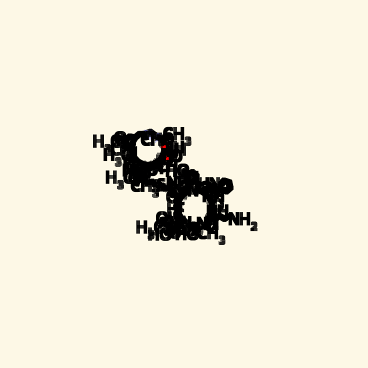 COc1cc2cc(c1Cl)N(C)C(=O)C[C@H](OC(=O)N(C)C(C)C(=O)CCSSC[C@@H](N)C(=O)N[C@H]1CSSC[C@@H](C(=O)N[C@H](C(=O)O)[C@@H](C)O)NC(=O)[C@H]([C@@H](C)O)NC(=O)[C@H](CCCCN)NC(=O)[C@@H](Cc3c[nH]c4ccccc34)NC(=O)[C@H](Cc3ccc(O)cc3)NC1=O)[C@]1(C)O[C@H]1[C@H](C)[C@@H]1C[C@@](O)(NC(=O)O1)[C@H](OC)/C=C/C=C(\C)C2